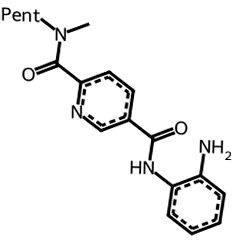 CCCCCN(C)C(=O)c1ccc(C(=O)Nc2ccccc2N)cn1